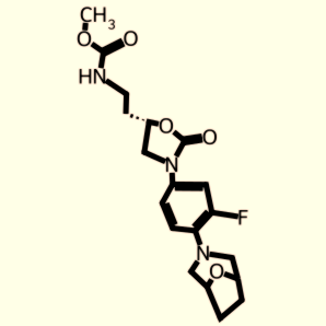 COC(=O)NCC[C@H]1CN(c2ccc(N3CC4CCC(C3)O4)c(F)c2)C(=O)O1